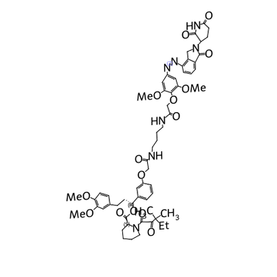 CCC(C)(C)C(=O)C(=O)N1CCCC[C@H]1C(=O)O[C@H](CCc1ccc(OC)c(OC)c1)c1cccc(OCC(=O)NCCCCNC(=O)COc2c(OC)cc(/N=N\c3cccc4c3CN(C3CCC(=O)NC3=O)C4=O)cc2OC)c1